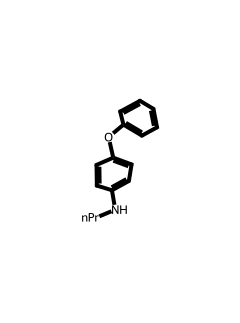 CCCNc1ccc(Oc2ccccc2)cc1